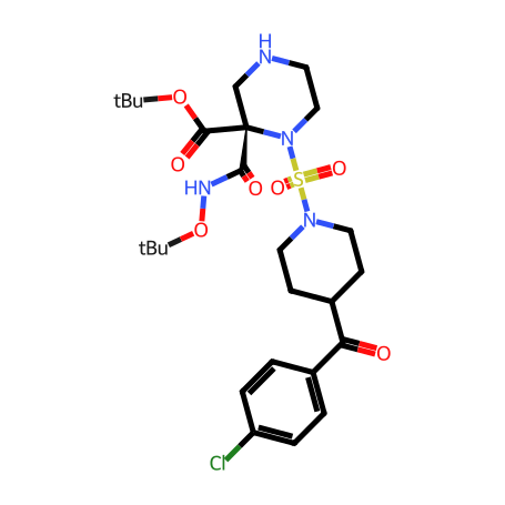 CC(C)(C)ONC(=O)[C@@]1(C(=O)OC(C)(C)C)CNCCN1S(=O)(=O)N1CCC(C(=O)c2ccc(Cl)cc2)CC1